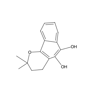 CC1(C)CCc2c(O)c(O)c3ccccc3c2O1